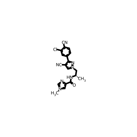 C[C@@H](Cn1cc(C#N)c(-c2ccc(C#N)c(Cl)c2)n1)NC(=O)c1cn(C)cn1